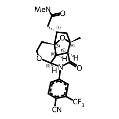 CNC(=O)C[C@@H]1C[C@@]2(C)O[C@@]13CCO[C@H]1[C@@H]3[C@@H]2C(=O)N1c1ccc(C#N)c(C(F)(F)F)c1